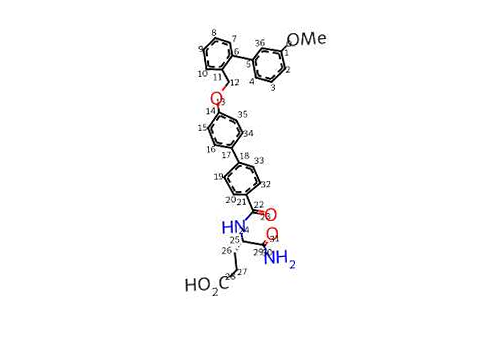 COc1cccc(-c2ccccc2COc2ccc(-c3ccc(C(=O)N[C@@H](CCC(=O)O)C(N)=O)cc3)cc2)c1